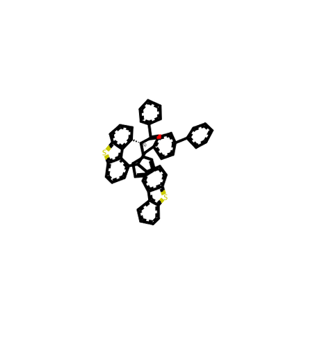 C=C(c1ccccc1)[C@@H](c1cccc2sc3cccc(C(Cc4ccc(-c5ccccc5)cc4)c4ccc5sc6ccccc6c5c4)c3c12)C1C=CC=CC1